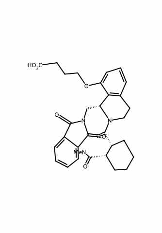 CNC(=O)[C@H]1CCCC[C@H]1C(=O)N1CCc2cccc(OCCCC(=O)O)c2[C@H]1CN1C(=O)c2ccccc2C1=O